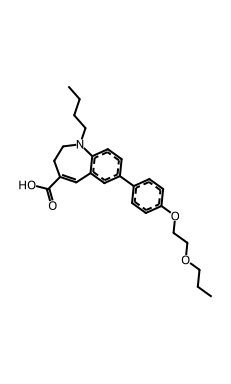 CCCCN1CCC(C(=O)O)=Cc2cc(-c3ccc(OCCOCCC)cc3)ccc21